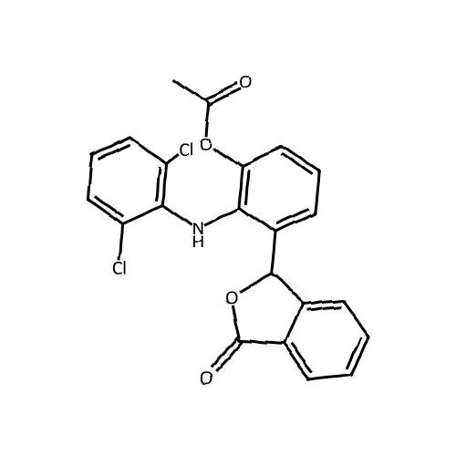 CC(=O)Oc1cccc(C2OC(=O)c3ccccc32)c1Nc1c(Cl)cccc1Cl